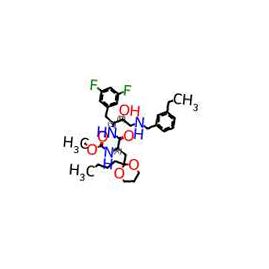 CCCCC1(C[C@@H](NC(=O)OC)C(=O)N[C@@H](Cc2cc(F)cc(F)c2)[C@H](O)CNCc2cccc(CC)c2)OCCCO1